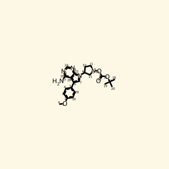 COc1ccc(-c2cn(C3CCN(OC(=O)OC(C)(C)C)C3)c3ncnc(N)c23)cc1